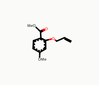 C=CCOc1cc(OC)ccc1C(=O)OC